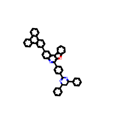 c1ccc(C2=NC(c3ccc(-c4nc5ccc(-c6ccc7c8ccccc8c8ccccc8c7c6)cc5c5c4oc4ccccc45)cc3)=NC(c3ccccc3)C2)cc1